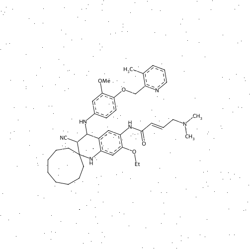 CCOc1cc2c(cc1NC(=O)/C=C/CN(C)C)C(Nc1ccc(OCc3ncccc3C)c(OC)c1)C(C#N)C1(CCCCCCCC1)N2